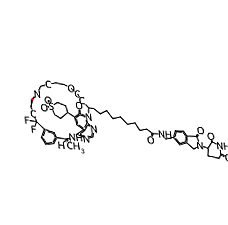 C[C@H]1Nc2ncnc3c2cc(C2CCS(=O)(=O)CC2)c(=O)n3C(CCCCCCCCCC(=O)NCc2ccc3c(c2)CN(C2CCC(=O)NC2=O)C3=O)CCOCCCCN2CC(C2)CC(F)(F)c2cccc1c2